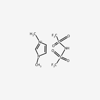 Cn1cc[n+](C)c1.O=S(=O)(NS(=O)(=O)C(F)(F)F)C(F)(F)F